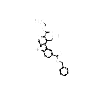 CCOC(=O)c1ncc2[nH]c3ccc(C(=O)OCc4ccccc4)cc3c2c1CC